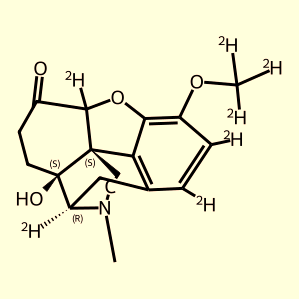 [2H]c1c([2H])c(OC([2H])([2H])[2H])c2c3c1C[C@@]1([2H])N(C)CC[C@@]34C([2H])(O2)C(=O)CC[C@@]14O